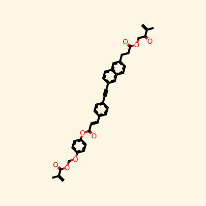 C=C(C)C(=O)COC(=O)CCc1ccc2cc(C#Cc3ccc(/C=C/C(=O)Oc4ccc(OCOC(=O)C(=C)C)cc4)cc3)ccc2c1